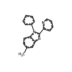 Cc1ccc2c(c1)nc(-c1ccccn1)n2-c1ccccc1